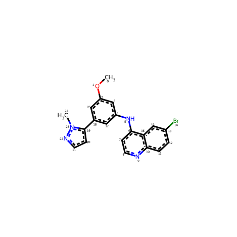 COc1cc(Nc2ccnc3ccc(Br)cc23)cc(-c2ccnn2C)c1